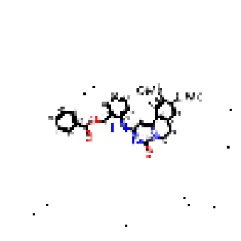 COc1cc2c(cc1OC)-c1cc(Nc3ccccc3COC(=O)c3ccccc3)nc(=O)n1CC2